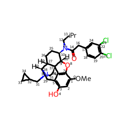 COc1cc(O)c2c3c1O[C@H]1[C@H](N(CC(C)C)C(=O)Cc4ccc(Cl)c(Cl)c4)CC[C@H]4[C@@H](C2)N(CC2CC2)CC[C@@]341